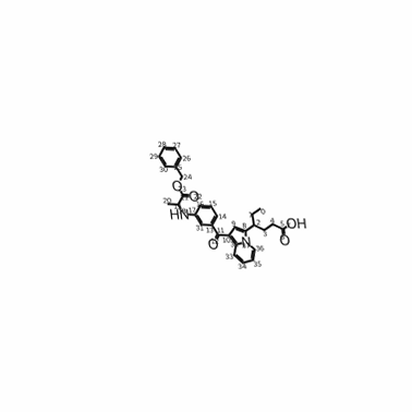 CCC(CCC(=O)O)c1cc(C(=O)c2cccc(NC(C)C(=O)OCc3ccccc3)c2)c2ccccn12